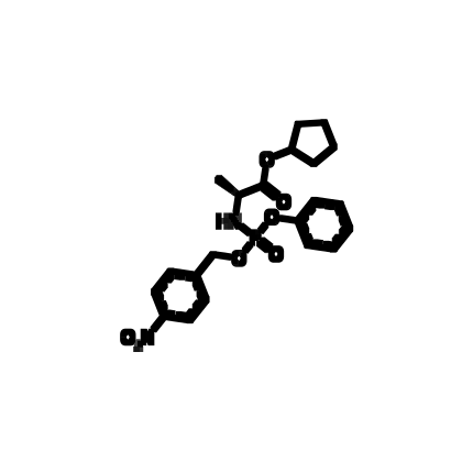 C[C@H](NP(=O)(OCc1ccc([N+](=O)[O-])cc1)Oc1ccccc1)C(=O)OC1CCCC1